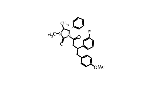 COc1ccc(C[C@@H](CC(=O)N2C(=O)N(C)C(C)[C@@H]2c2ccccc2)c2cccc(F)c2)cc1